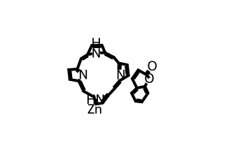 C1=Cc2cc3ccc(cc4nc(cc5ccc(cc1n2)[nH]5)C=C4)[nH]3.O=c1ccc2ccccc2o1.[Zn]